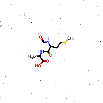 CSCCC(NC=O)C(=O)NC(C)C(=O)O